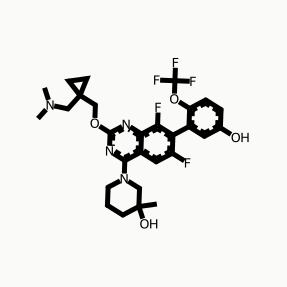 CN(C)CC1(COc2nc(N3CCCC(C)(O)C3)c3cc(F)c(-c4cc(O)ccc4OC(F)(F)F)c(F)c3n2)CC1